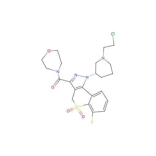 O=C(c1nn([C@H]2CCCN(CCCl)C2)c2c1CS(=O)(=O)c1c(F)cccc1-2)N1CCOCC1